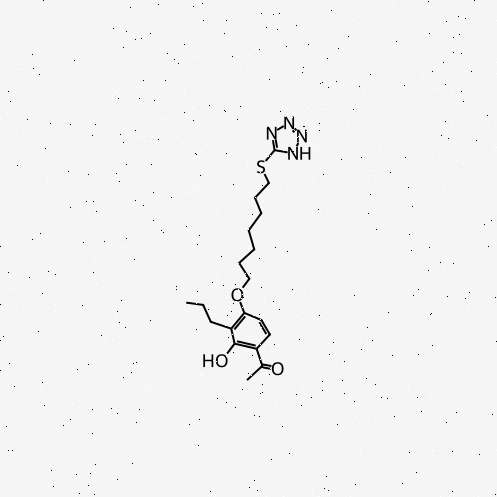 CCCc1c(OCCCCCCCSc2nnn[nH]2)ccc(C(C)=O)c1O